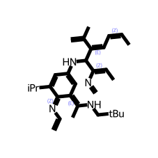 C=C/N=C1/C(C(C)C)=CC(NC(/C(=C/C)N=C)/C(=C/C=C\C)C(=C)C)=C/C1=C(/C)NCC(C)(C)C